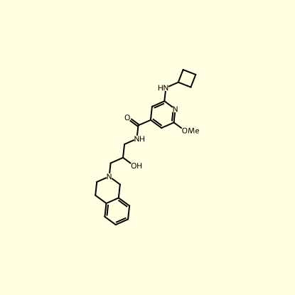 COc1cc(C(=O)NCC(O)CN2CCc3ccccc3C2)cc(NC2CCC2)n1